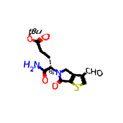 CC(C)(C)OC(=O)CC[C@@H](C(N)=O)N1Cc2c(C=O)csc2C1=O